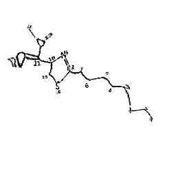 CCCCCCCCC1=NC(C(=O)OC)CS1